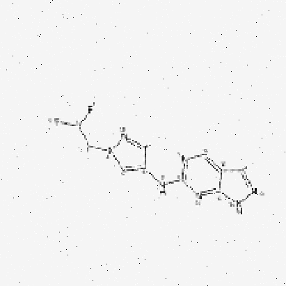 FC(F)Cn1cc(Nc2ncc3cn[nH]c3n2)cn1